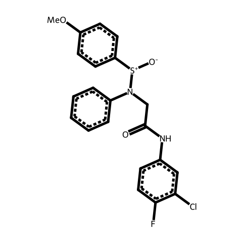 COc1ccc([S+]([O-])N(CC(=O)Nc2ccc(F)c(Cl)c2)c2ccccc2)cc1